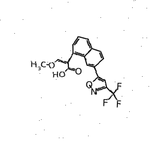 COC=C(C(=O)O)c1cccc2ccc(-c3cc(C(F)(F)F)no3)cc12